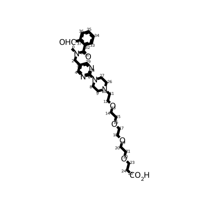 CN(Cc1cnc(N2CCN(CCOCCOCCOCCOCCC(=O)O)CC2)nc1)C(=O)c1ccccc1C=O